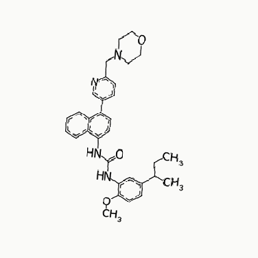 CCC(C)c1ccc(OC)c(NC(=O)Nc2ccc(-c3ccc(CN4CCOCC4)nc3)c3ccccc23)c1